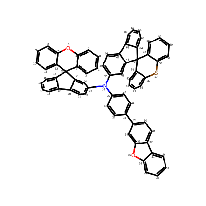 c1ccc2c(c1)Oc1ccccc1C21c2ccccc2-c2ccc(N(c3ccc(-c4ccc5c(c4)oc4ccccc45)cc3)c3ccc4c(c3)C3(c5ccccc5Sc5ccccc53)c3ccccc3-4)cc21